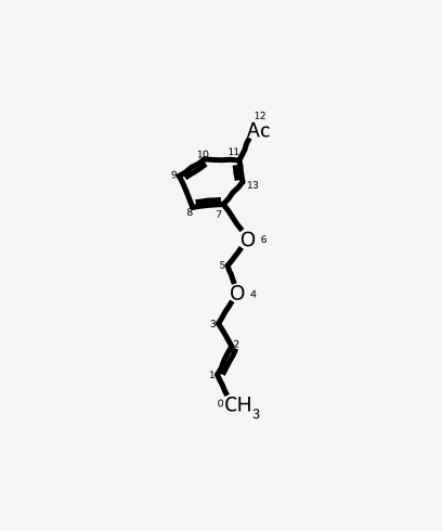 CC=CCOCOc1cccc(C(C)=O)c1